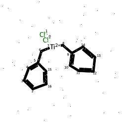 [Cl-].[Cl-].c1ccc([CH2][Ti+2][CH2]c2ccccc2)cc1